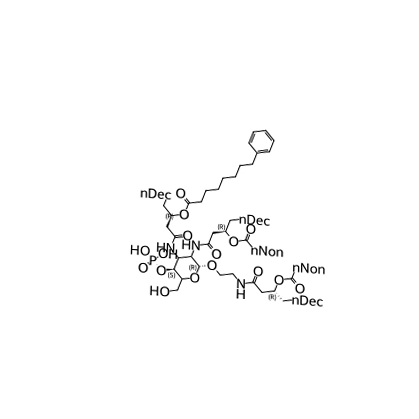 CCCCCCCCCCC[C@H](CC(=O)NCCO[C@@H]1OC(CO)[C@@H](OP(=O)(O)O)C(NC(=O)C[C@@H](CCCCCCCCCCC)OC(=O)CCCCCCCc2ccccc2)C1NC(=O)C[C@@H](CCCCCCCCCCC)OC(=O)CCCCCCCCC)OC(=O)CCCCCCCCC